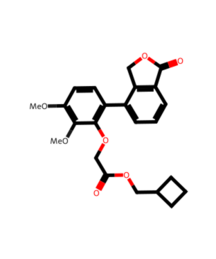 COc1ccc(-c2cccc3c2COC3=O)c(OCC(=O)OCC2CCC2)c1OC